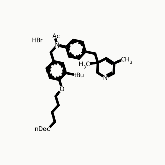 Br.CCCCCCCCCCCCCCOc1ccc(CN(C(C)=O)c2ccc(CC3(C)C=C(C)C=NC3)cc2)cc1C(C)(C)C